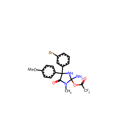 COc1ccc(C2(c3cccc(Br)c3)NC(N)(OC(=O)C(F)(F)F)N(C)C2=O)cc1